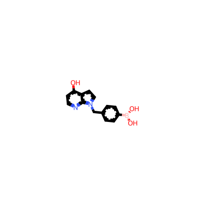 OB(O)c1ccc(Cn2ccc3c(O)ccnc32)cc1